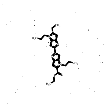 CCCn1c(CC)cc2sc(-c3cc4c(cc(C(=O)OCC)n4CCC)s3)cc21